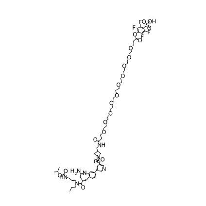 CCCN(CCCNC(=O)OC(C)C)C(=O)C1=Cc2ccc(-c3cncc(S(=O)(=O)N4CC(CNC(=O)CCOCCOCCOCCOCCOCCOCCOCCOCCOCCOCCC(=O)Oc5c(F)c(F)c(S(=O)(=O)O)c(F)c5F)C4)c3)cc2N=C(N)C1